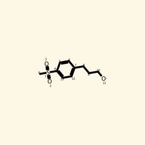 CS(=O)(=O)c1ccc(CCC[O])cc1